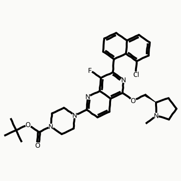 CN1CCC[C@@H]1COc1nc(-c2cccc3cccc(Cl)c23)c(F)c2nc(N3CCN(C(=O)OC(C)(C)C)CC3)ccc12